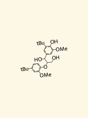 COc1cc(C(C)(C)C)ccc1OC(CO)C(O)c1cc(OC)c(O)c(C(C)(C)C)c1